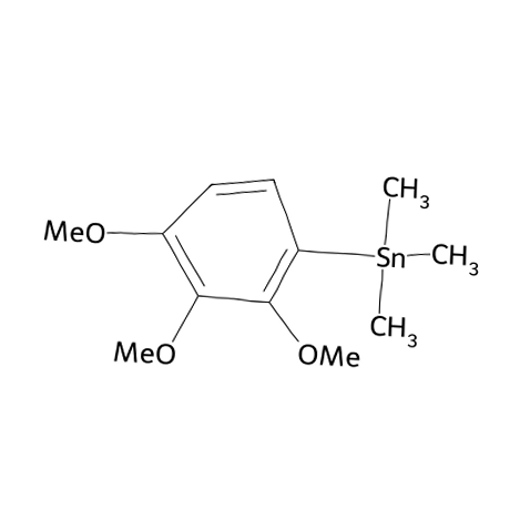 COc1cc[c]([Sn]([CH3])([CH3])[CH3])c(OC)c1OC